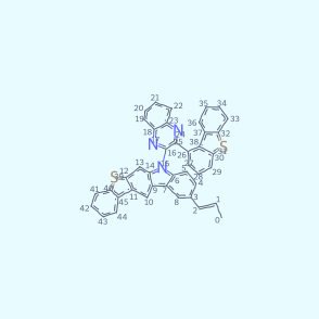 C/C=C/c1ccc2c(c1)c1cc3c(cc1n2-c1nc2ccccc2nc1-c1cccc2sc4ccccc4c12)sc1ccccc13